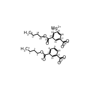 CCCCOC(=O)c1cccc(C(=O)[O-])c1.CCCCOC(=O)c1cccc(C(=O)[O-])c1.[Mg+2]